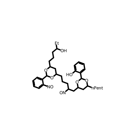 CCCCCC1CC(CC(CCCC2CC(CCCC(O)CC)OC(c3ccccc3N=O)O2)N=O)OC(c2ccccc2O)O1